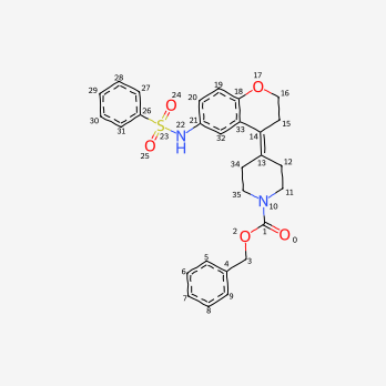 O=C(OCc1ccccc1)N1CCC(=C2CCOc3ccc(NS(=O)(=O)c4ccccc4)cc32)CC1